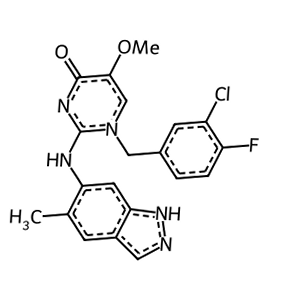 COc1cn(Cc2ccc(F)c(Cl)c2)c(Nc2cc3[nH]ncc3cc2C)nc1=O